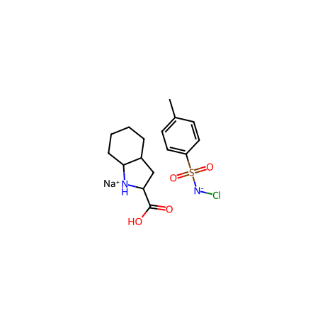 Cc1ccc(S(=O)(=O)[N-]Cl)cc1.O=C(O)C1CC2CCCCC2N1.[Na+]